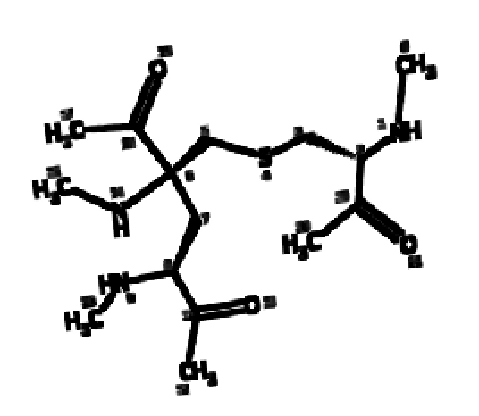 CN[C@@H](CSC[C@@](C[C@H](NC)C(C)=O)(NC)C(C)=O)C(C)=O